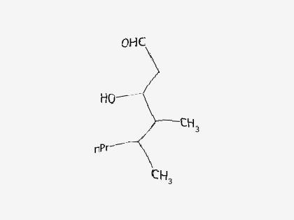 CCCC(C)C(C)C(O)CC=O